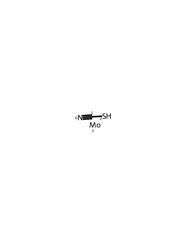 N#CS.[Mo]